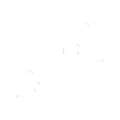 Cc1nnc(NS(=O)(=O)c2ccc(NC(=O)N3N=C(c4cccnc4)CC3c3ccccc3O)cc2)s1